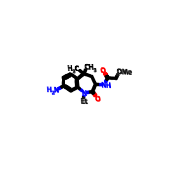 CCN1C(=O)C(NC(=O)COC)CC(C)(C)c2ccc(N)cc21